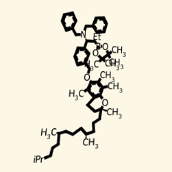 CC[C@H](B1OC(C)(C)C(C)(C)O1)[C@H](c1cccc(COc2c(C)c(C)c3c(c2C)CC[C@@](C)(CCC[C@H](C)CCC[C@H](C)CCCC(C)C)O3)c1)N(Cc1ccccc1)Cc1ccccc1